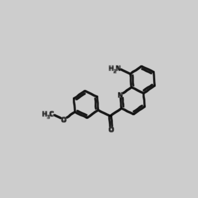 COc1cccc(C(=O)c2ccc3cccc(N)c3n2)c1